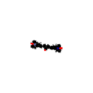 CCc1cccc(CC)c1N(c1ccc2c(c1)C(C)(C)c1cc(-c3ccc4c(c3)C(CC)(CC)c3cc(-c5ccc6c(c5)C(C)(C)c5cc(N(c7c(CC)cccc7CC)c7c(CC)cccc7CC)ccc5-6)ccc3-4)ccc1-2)c1c(CC)cccc1CC